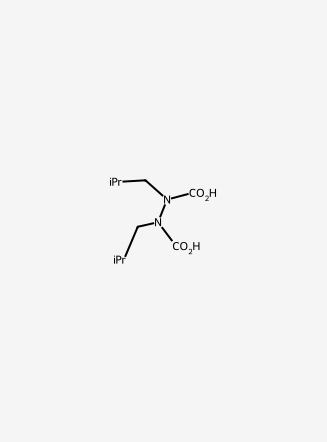 CC(C)CN(C(=O)O)N(CC(C)C)C(=O)O